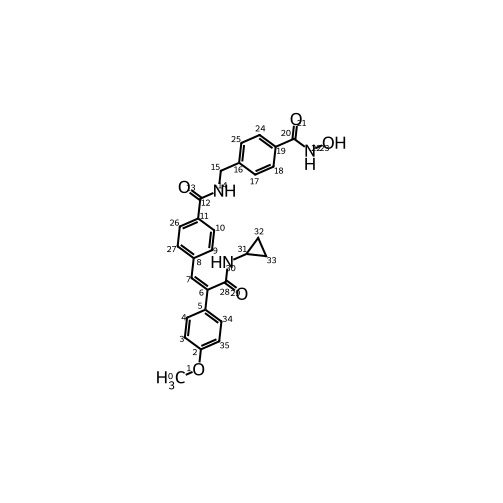 COc1ccc(/C(=C/c2ccc(C(=O)NCc3ccc(C(=O)NO)cc3)cc2)C(=O)NC2CC2)cc1